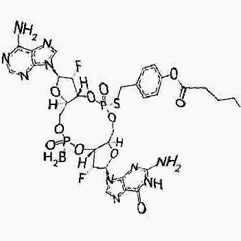 B[P@]1(=O)OC[C@H]2O[C@@H](n3cnc4c(N)ncnc43)[C@H](F)[C@@H]2O[P@](=O)(SCc2ccc(OC(=O)CCCC)cc2)OC[C@H]2O[C@@H](n3cnc4c(=O)[nH]c(N)nc43)[C@H](F)[C@@H]2O1